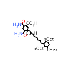 CCCCCCCCC1CCC(CCCCCC)C(CCCCCCCC)C1CCCCCCCCC1(C(=O)O)C=C(C(=O)O)C(C(N)=O)=CC1C(N)=O